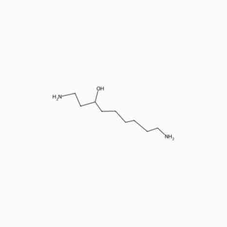 NCCCCCCC(O)CCN